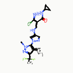 Cn1nc(C(F)(F)C(F)(F)F)c(C(F)(F)F)c1-n1cc(N/C=C(\C(=N)Cl)C(=O)NC2CC2)cn1